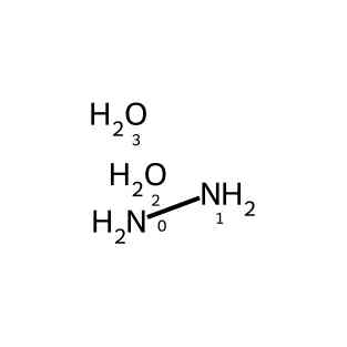 NN.O.O